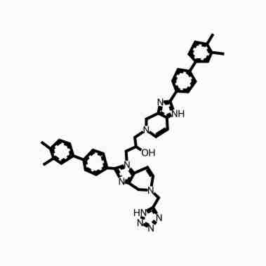 Cc1ccc(-c2ccc(-c3nc4c([nH]3)C=CN(CC(O)Cn3c(-c5ccc(-c6ccc(C)c(C)c6)cc5)nc5c3C=CN(Cc3nnn[nH]3)C5)C4)cc2)cc1C